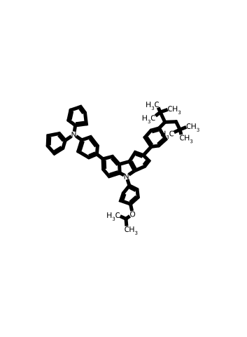 CC(C)Oc1ccc(-n2c3ccc(-c4ccc(C(CC(C)(C)C)C(C)(C)C)cc4)cc3c3cc(-c4ccc(N(c5ccccc5)c5ccccc5)cc4)ccc32)cc1